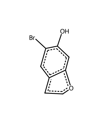 Oc1cc2occc2cc1Br